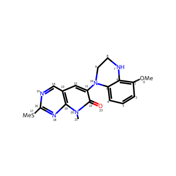 COc1cccc2c1NCCN2c1cc2cnc(SC)nc2n(C)c1=O